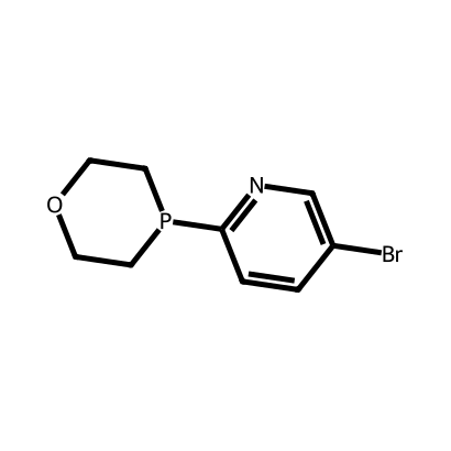 Brc1ccc(P2CCOCC2)nc1